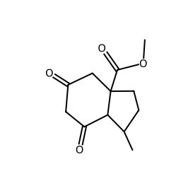 COC(=O)C12CCC(C)C1C(=O)CC(=O)C2